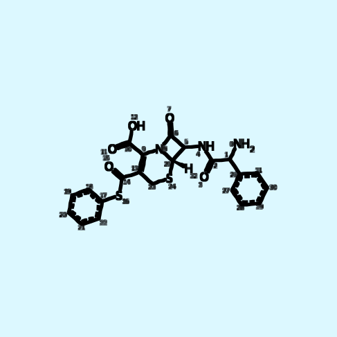 NC(C(=O)NC1C(=O)N2C(C(=O)O)=C(C(=O)Sc3ccccc3)CS[C@@H]12)c1ccccc1